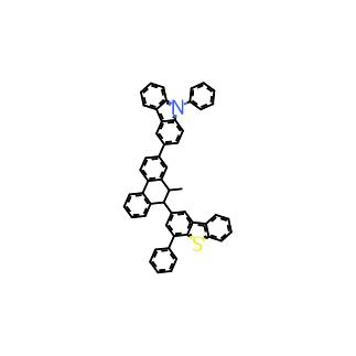 CC1c2cc(-c3ccc4c(c3)c3ccccc3n4-c3ccccc3)ccc2-c2ccccc2C1c1cc(-c2ccccc2)c2sc3ccccc3c2c1